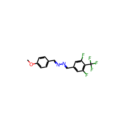 COc1ccc(C=NN=Cc2cc(F)c(C(F)(F)F)c(F)c2)cc1